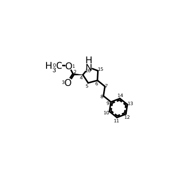 COC(=O)[C@@H]1CC(CCc2ccccc2)CN1